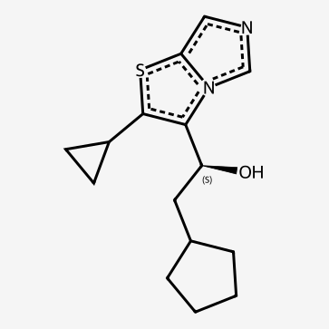 O[C@@H](CC1CCCC1)c1c(C2CC2)sc2cncn12